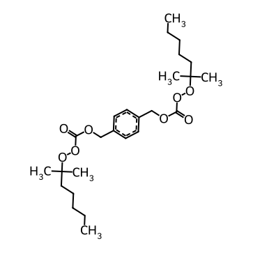 CCCCCC(C)(C)OOC(=O)OCc1ccc(COC(=O)OOC(C)(C)CCCCC)cc1